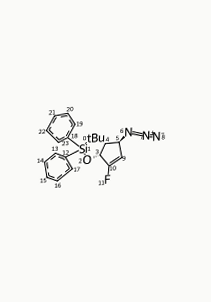 CC(C)(C)[Si](O[C@@H]1C[C@@H](N=[N+]=[N-])C=C1F)(c1ccccc1)c1ccccc1